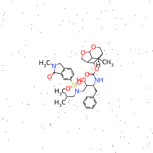 CC(C)CN(C[C@@H](O)[C@H](Cc1ccccc1)NC(=O)OC1C2COC3OCC1[C@H](C)C32)S(=O)(=O)c1ccc2c(c1)C(=O)N(C)C2